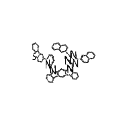 c1cc(-c2ccc3sc4ccccc4c3c2)nc(-n2c3ccccc3c3cc4c5ccccc5n(-c5nc(-c6ccc7ccccc7c6)nc(-c6ccc7ccccc7c6)n5)c4cc32)c1